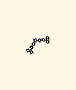 c1ccc2c(c1)c1ccccc1n2-c1ccc(-c2ccc(-c3cc(-c4ccc(-c5ccc(-n6c7ccccc7c7ccccc76)cc5)cc4)ncn3)cc2)cc1